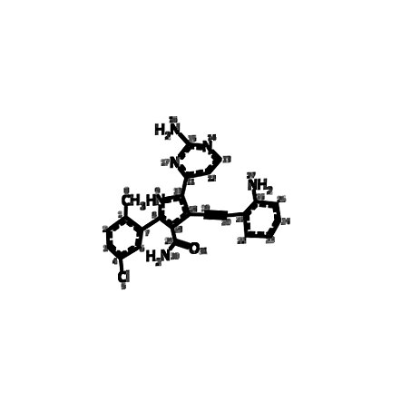 Cc1ccc(Cl)cc1-c1[nH]c(-c2ccnc(N)n2)c(C#Cc2ccccc2N)c1C(N)=O